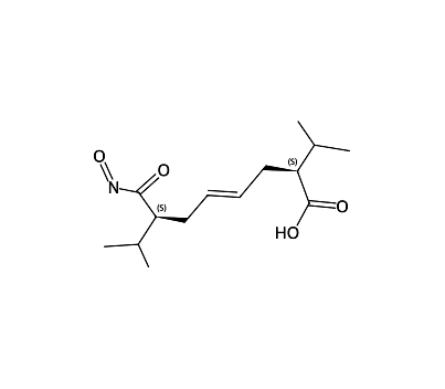 CC(C)[C@H](CC=CC[C@H](C(=O)N=O)C(C)C)C(=O)O